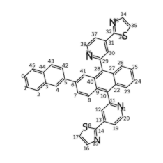 c1ccc2cc(-c3ccc4c(-c5cc(-c6nccs6)ccn5)c5ccccc5c(-c5cc(-c6nccs6)ccn5)c4c3)ccc2c1